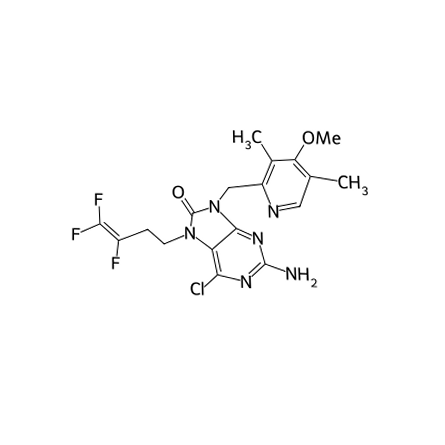 COc1c(C)cnc(Cn2c(=O)n(CCC(F)=C(F)F)c3c(Cl)nc(N)nc32)c1C